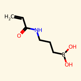 C=CC(=O)NCCCB(O)O